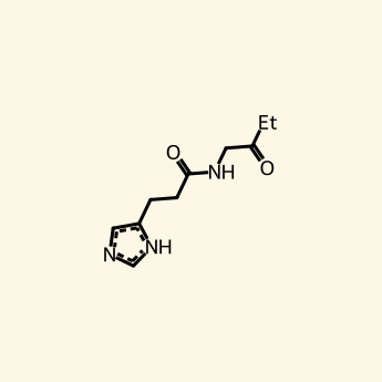 CCC(=O)CNC(=O)CCc1cnc[nH]1